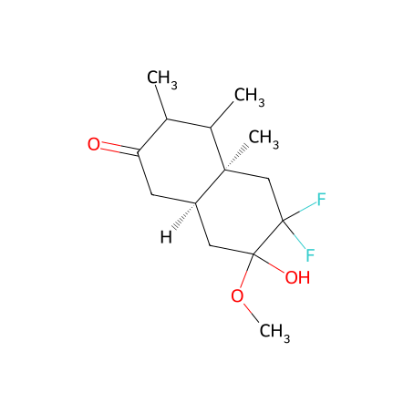 COC1(O)C[C@H]2CC(=O)C(C)C(C)[C@@]2(C)CC1(F)F